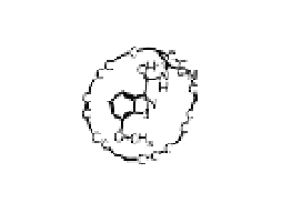 COc1cccc2c(C(=O)N[C@@H]3CN4CCCCCCCCCCCCCCCCCCCCCC3CC4)nsc12